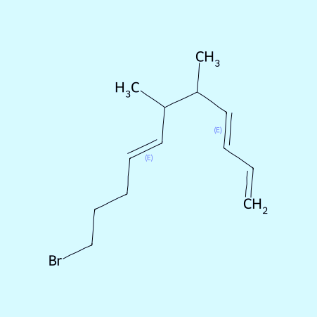 C=C/C=C/C(C)C(C)/C=C/CCCBr